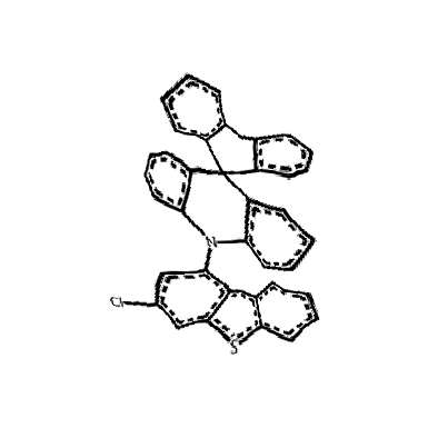 Clc1cc(N2c3ccccc3C3(c4ccccc4-c4ccccc43)c3ccccc32)c2c(c1)sc1ccccc12